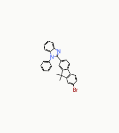 CC1(C)c2cc(Br)ccc2-c2ccc(-c3nc4ccccc4n3-c3ccccc3)cc21